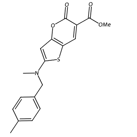 COC(=O)c1cc2sc(N(C)Cc3ccc(C)cc3)cc2oc1=O